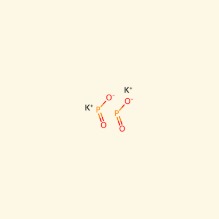 O=P[O-].O=P[O-].[K+].[K+]